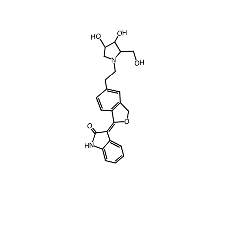 O=C1Nc2ccccc2/C1=C1\OCc2cc(CCN3CC(O)C(O)C3CO)ccc21